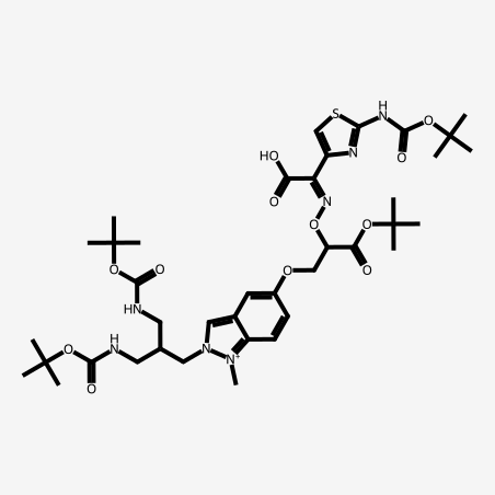 C[n+]1c2ccc(OCC(ON=C(C(=O)O)c3csc(NC(=O)OC(C)(C)C)n3)C(=O)OC(C)(C)C)cc2cn1CC(CNC(=O)OC(C)(C)C)CNC(=O)OC(C)(C)C